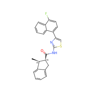 C[C@@H]1c2ccccc2C[C@@H]1C(=O)Nc1nc(-c2ccc(F)c3ccccc23)cs1